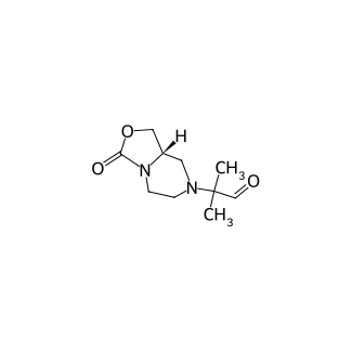 CC(C)(C=O)N1CCN2C(=O)OC[C@@H]2C1